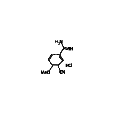 COc1ccc(C(=N)N)cc1C#N.Cl